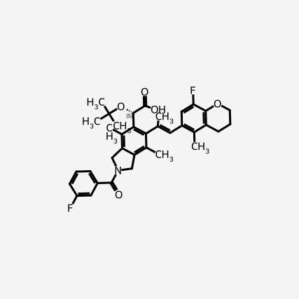 CC(=Cc1cc(F)c2c(c1C)CCCO2)c1c(C)c2c(c(C)c1[C@H](OC(C)(C)C)C(=O)O)CN(C(=O)c1cccc(F)c1)C2